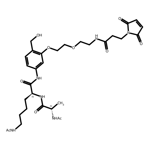 CC(=O)NCCCC[C@H](NC(=O)[C@H](C)NC(C)=O)C(=O)Nc1ccc(CO)c(OCCOCCNC(=O)CCN2C(=O)C=CC2=O)c1